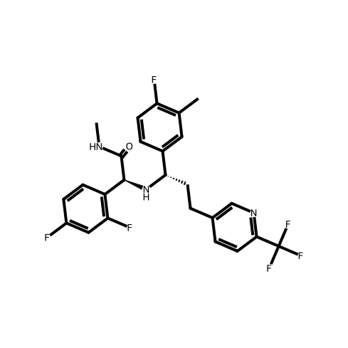 CNC(=O)[C@@H](N[C@@H](CCc1ccc(C(F)(F)F)nc1)c1ccc(F)c(C)c1)c1ccc(F)cc1F